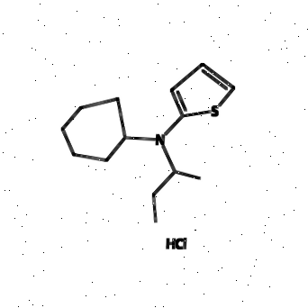 CCC(C)N(c1cccs1)C1CCCCC1.Cl